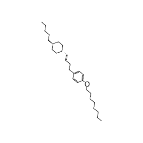 CCCCCCCCOc1ccc(CCC=C[C@H]2CC[C@H](CCCCC)CC2)cc1